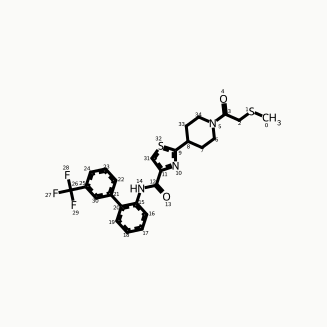 CSCC(=O)N1CCC(c2nc(C(=O)Nc3ccccc3-c3cccc(C(F)(F)F)c3)cs2)CC1